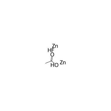 CC(=O)O.F.[Zn].[Zn]